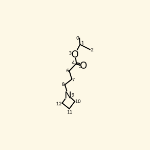 CC(C)OC(=O)CCCN1CCC1